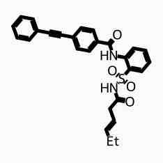 CC/C=C/CC(=O)NS(=O)(=O)c1ccccc1NC(=O)c1ccc(C#Cc2ccccc2)cc1